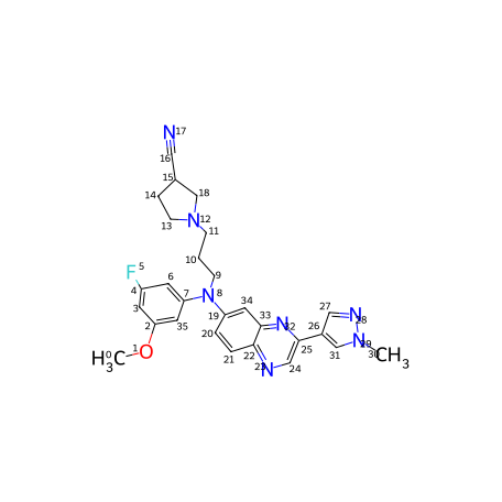 COc1cc(F)cc(N(CCCN2CCC(C#N)C2)c2ccc3ncc(-c4cnn(C)c4)nc3c2)c1